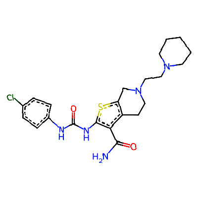 NC(=O)c1c(NC(=O)Nc2ccc(Cl)cc2)sc2c1CCN(CCN1CCCCC1)C2